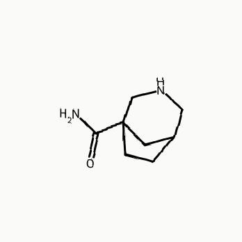 NC(=O)C12CCC(CNC1)C2